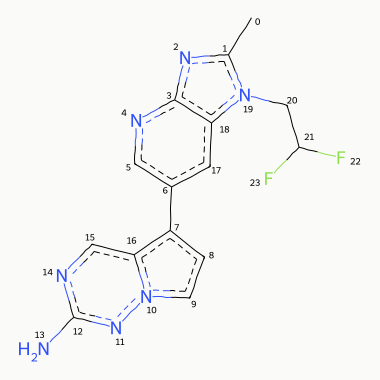 Cc1nc2ncc(-c3ccn4nc(N)ncc34)cc2n1CC(F)F